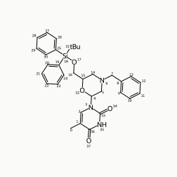 Cc1cn(C2CN(Cc3ccccc3)CC(CO[Si](c3ccccc3)(c3ccccc3)C(C)(C)C)O2)c(=O)[nH]c1=O